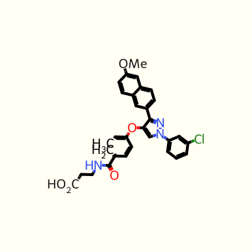 C=C(/C=C\C(=C/C)Oc1cn(-c2cccc(Cl)c2)nc1-c1ccc2cc(OC)ccc2c1)C(=O)NCCC(=O)O